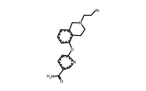 CC(C)CCN1CCc2c(cccc2Oc2ccc(C(N)=O)cn2)C1